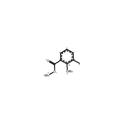 CCCCOC(=O)c1cccc(C)c1OCC(C)C